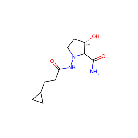 NC(=O)C1[C@@H](O)CCN1NC(=O)[CH]CC1CC1